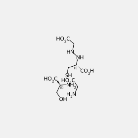 NCC(=O)O.N[C@@H](CO)C(=O)O.O=C(O)CNN[C@@H](CS)C(=O)O